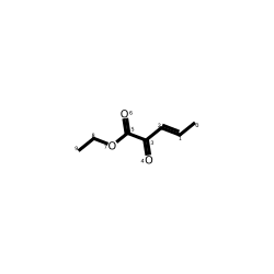 CC=CC(=O)C(=O)OCC